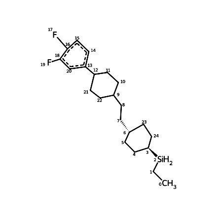 CC[SiH2][C@H]1CC[C@H](CCC2CCC(c3ccc(F)c(F)c3)CC2)CC1